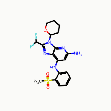 CS(=O)(=O)c1ccccc1Nc1cc(N)nc2c1nc(C(F)F)n2C1CCCCO1